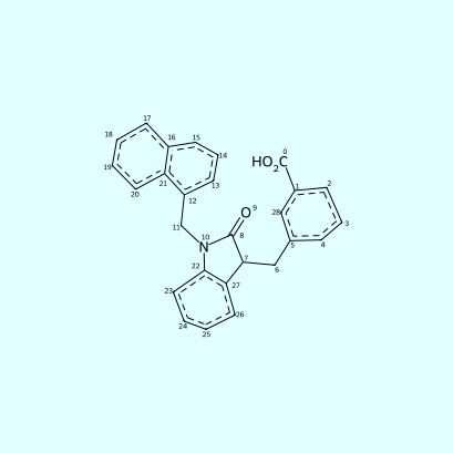 O=C(O)c1cccc(CC2C(=O)N(Cc3cccc4ccccc34)c3ccccc32)c1